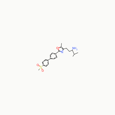 Cc1oc(-c2ccc(-c3ccc(S(C)(=O)=O)cc3)cc2)nc1CCC(N)C(C)C